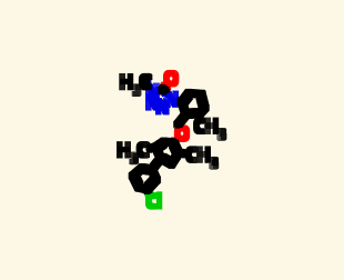 Cc1cc(-c2cccc(Cl)c2)c(C)cc1OCc1c(C)cccc1-n1nnn(C)c1=O